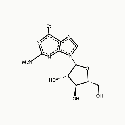 CCc1nc(NC)nc2c1ncn2[C@@H]1O[C@H](CO)[C@@H](O)[C@@H]1O